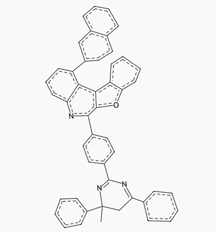 CC1(c2ccccc2)CC(c2ccccc2)=NC(c2ccc(-c3nc4cccc(-c5ccc6ccccc6c5)c4c4c3oc3ccccc34)cc2)=N1